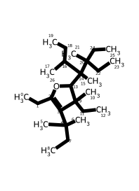 CCC1=C(C(C)(C)CC)C(C)(CC)C(C(C)(C(C)CC)C(C)(CC)CC)O1